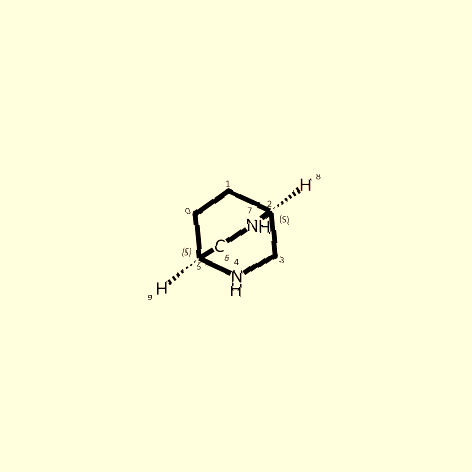 C1C[C@H]2CN[C@@H]1CN2